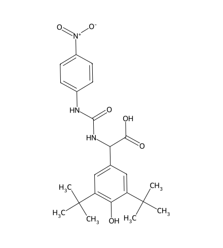 CC(C)(C)c1cc(C(NC(=O)Nc2ccc([N+](=O)[O-])cc2)C(=O)O)cc(C(C)(C)C)c1O